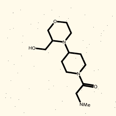 CNCC(=O)N1CCC(N2CCOCC2CO)CC1